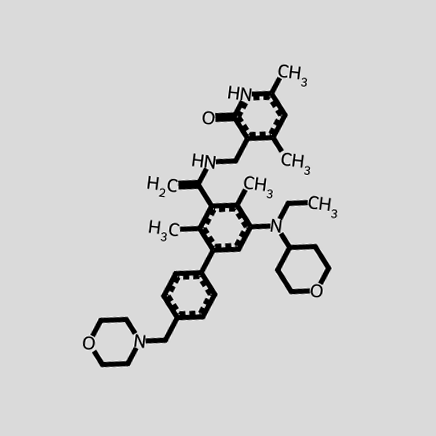 C=C(NCc1c(C)cc(C)[nH]c1=O)c1c(C)c(-c2ccc(CN3CCOCC3)cc2)cc(N(CC)C2CCOCC2)c1C